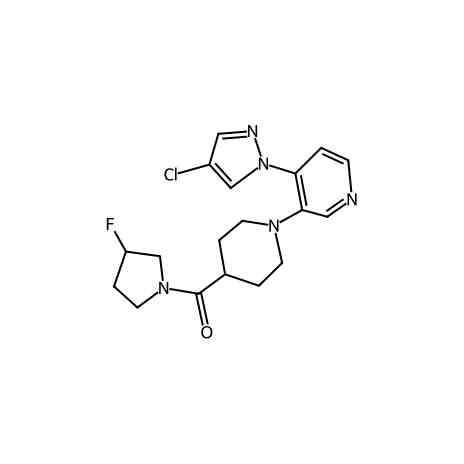 O=C(C1CCN(c2cnccc2-n2cc(Cl)cn2)CC1)N1CCC(F)C1